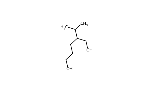 CC(C)C(CO)CCCO